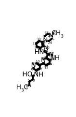 CCCCC(O)Nc1cncc(-c2ccc3[nH]nc(-c4nc5c(N6CCN(C)CC6)cccc5[nH]4)c3n2)c1